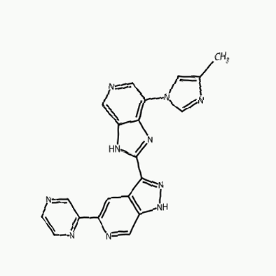 Cc1cn(-c2cncc3[nH]c(-c4n[nH]c5cnc(-c6cnccn6)cc45)nc23)cn1